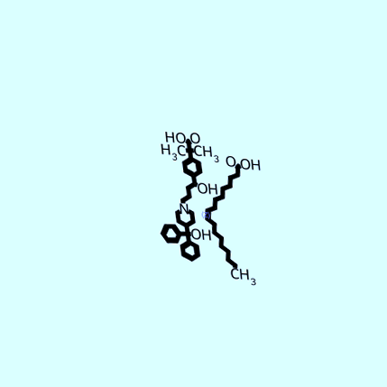 CC(C)(C(=O)O)c1ccc(C(O)CCCN2CCC(C(O)(c3ccccc3)c3ccccc3)CC2)cc1.CCCCCCCC/C=C\CCCCCCCC(=O)O